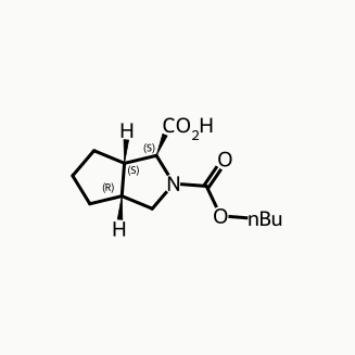 CCCCOC(=O)N1C[C@@H]2CCC[C@@H]2[C@H]1C(=O)O